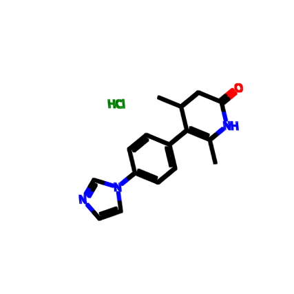 CC1=C(c2ccc(-n3ccnc3)cc2)C(C)CC(=O)N1.Cl